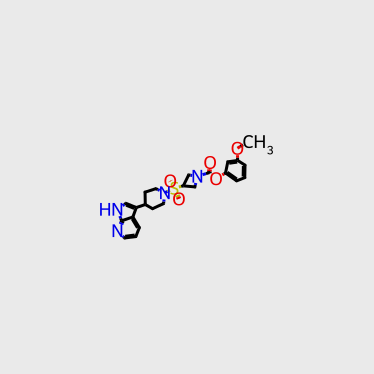 COc1cccc(OC(=O)N2CC(S(=O)(=O)N3CCC(c4c[nH]c5ncccc45)CC3)C2)c1